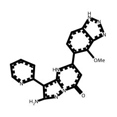 COc1c(-c2cc(=O)n3nc(N)c(-c4ccccn4)c3[nH]2)ccc2[nH]nnc12